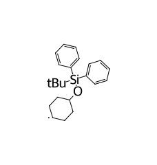 CC(C)(C)[Si](OC1CC[CH]CC1)(c1ccccc1)c1ccccc1